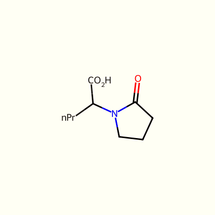 CCCC(C(=O)O)N1CCCC1=O